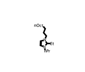 CCCCCCCCCCCN1C=CN(CCC)C1CC